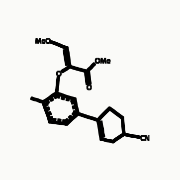 CO/C=C(\Oc1cc(C2=CCC(C#N)CC2)ccc1C)C(=O)OC